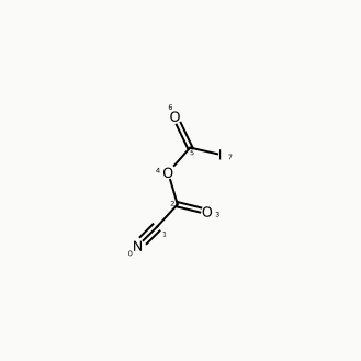 N#CC(=O)OC(=O)I